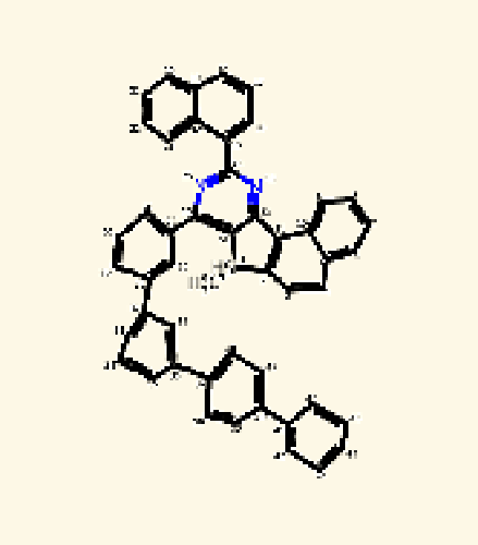 C[SiH]1c2ccc3ccccc3c2-c2nc(-c3cccc4ccccc34)nc(-c3cccc(-c4cccc(-c5ccc(-c6ccccc6)cc5)c4)c3)c21